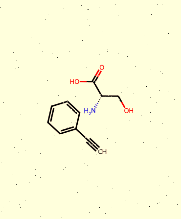 C#Cc1ccccc1.N[C@@H](CO)C(=O)O